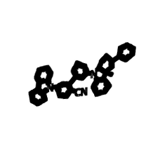 CC12C=C(c3ccccc3)C=CC1N(c1cccc(-c3cc(-n4c5ccccc5c5ccccc54)ccc3C#N)c1)c1ccccc12